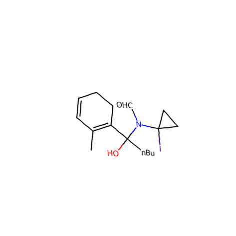 CCCCC(O)(C1=C(C)C=CCC1)N(C=O)C1(I)CC1